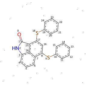 O=C1Nc2cccc3c(Sc4ccccc4)cc(Sc4ccccc4)c1c23